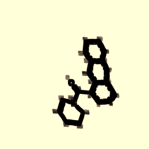 O=C(c1cccc2cc3ccccc3cc12)N1C=CC=CC1